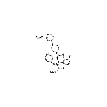 COC(=O)CC1c2cccc(F)c2N=C(N2CCN(c3cccc(OC)c3)CC2)N1c1cc(C(F)(F)F)ccc1OC